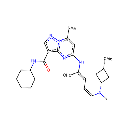 CNc1cc(N/C(C=O)=C/C=C\N(C)[C@H]2C[C@@H](OC)C2)nc2c(C(=O)NC3CCCCC3)cnn12